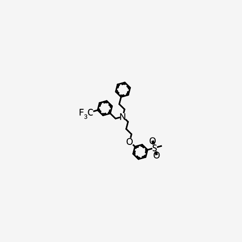 CS(=O)(=O)c1cccc(OCCCN(CCc2ccccc2)Cc2cccc(C(F)(F)F)c2)c1